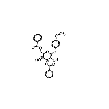 COc1ccc(O[C@@H]2OC(COC(=O)c3ccccc3)[C@H](O)[C@H](OC(=O)c3ccccc3)C2O)cc1